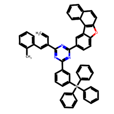 C=C/C(=C\c1ccccc1C)c1nc(-c2cccc([Si](c3ccccc3)(c3ccccc3)c3ccccc3)c2)nc(-c2ccc3oc4ccc5ccccc5c4c3c2)n1